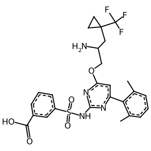 Cc1cccc(C)c1-c1cc(OCC(N)CC2(C(F)(F)F)CC2)nc(NS(=O)(=O)c2cccc(C(=O)O)c2)n1